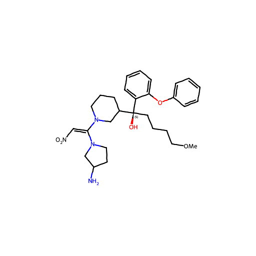 COCCCC[C@@](O)(c1ccccc1Oc1ccccc1)C1CCCN(C(=C[N+](=O)[O-])N2CCC(N)C2)C1